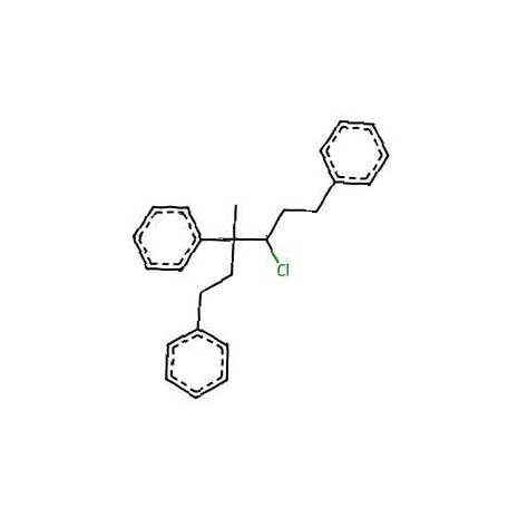 CC(CCc1ccccc1)([C](Cl)CCc1ccccc1)c1ccccc1